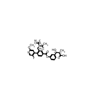 COc1cc(-c2ccc(C(=O)Oc3cccc([C@H](O)[C@H](C)C(=O)O)c3)cc2CN(C(C)C)C(C)C)c(F)cn1